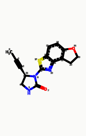 CC#C[C@@H]1CNC(=O)N1c1nc2c3c(ccc2s1)OCC3